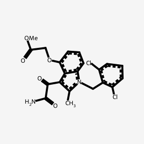 COC(=O)COc1cccc2c1c(C(=O)C(N)=O)c(C)n2Cc1c(Cl)cccc1Cl